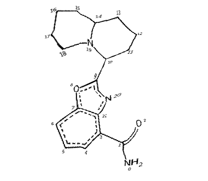 NC(=O)c1cccc2oc(C3CCCC4CCCCN43)nc12